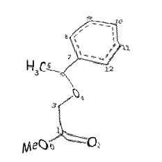 COC(=O)COC(C)c1ccccc1